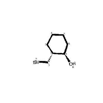 CC(C)(C)C[C@@H]1CCCC[C@H]1O